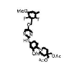 COc1cc(Nc2ncc(OCc3c(F)c(C)cc(OC)c3F)cn2)ccc1N1CCC(COC(C)=O)(COC(C)=O)CC1